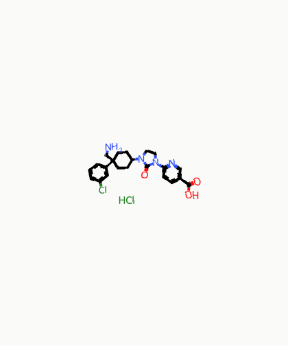 Cl.NCC1(c2cccc(Cl)c2)CCC(N2CCN(c3ccc(C(=O)O)cn3)C2=O)CC1